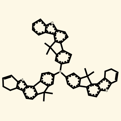 CC1(C)c2cc(N(c3ccc4c(c3)C(C)(C)c3c-4ccc4oc5c(c34)CCC=C5)c3ccc4c(c3)C(C)(C)c3c-4ccc4oc5ccccc5c34)ccc2-c2c1ccc1c3c(sc21)C=CCC3